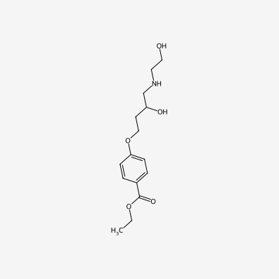 CCOC(=O)c1ccc(OCCC(O)CNCCO)cc1